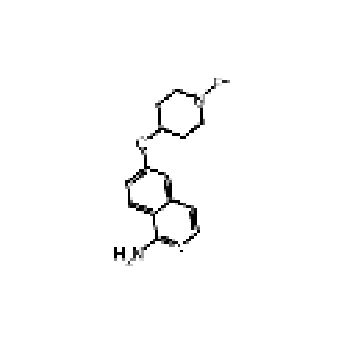 CCN1CCC(Oc2ccc3c(N)nccc3c2)CC1